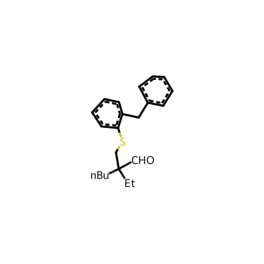 CCCCC(C=O)(CC)CSc1ccccc1Cc1ccccc1